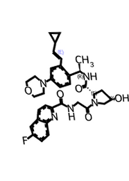 C[C@@H](NC(=O)[C@@H]1C[C@@H](O)CN1C(=O)CNC(=O)c1ccc2cc(F)ccc2n1)c1ccc(N2CCOCC2)cc1/C=C/C1CC1